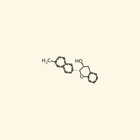 Cc1ccc2cc([C@H]3Oc4ccccc4C[C@@H]3O)ccc2c1